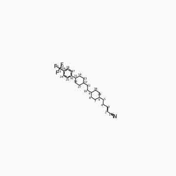 N#CC=CCCC1CCC(CCC2CCC(c3ccc(C(F)(F)F)cc3)CC2)CC1